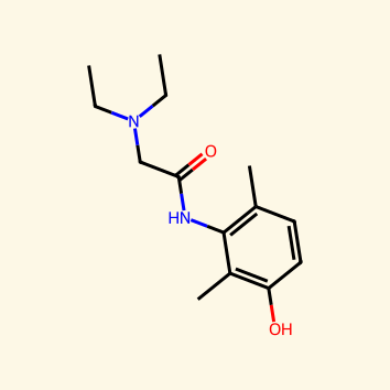 CCN(CC)CC(=O)Nc1c(C)ccc(O)c1C